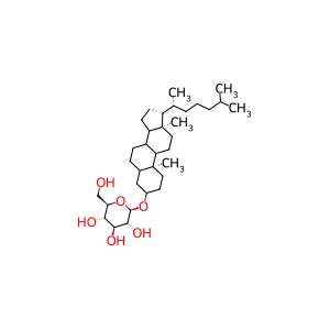 CC(C)CCC[C@@H](C)[C@H]1CCC2C3CCC4CC(O[C@@H]5O[C@H](CO)[C@@H](O)[C@H](O)[C@H]5O)CC[C@]4(C)C3CC[C@@]21C